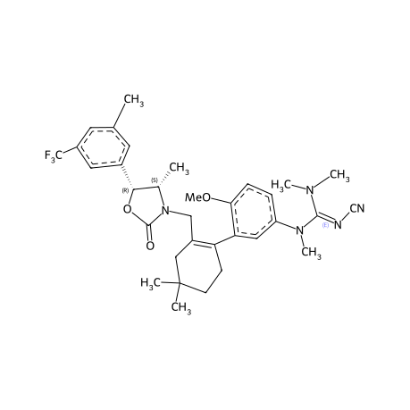 COc1ccc(N(C)/C(=N/C#N)N(C)C)cc1C1=C(CN2C(=O)O[C@H](c3cc(C)cc(C(F)(F)F)c3)[C@@H]2C)CC(C)(C)CC1